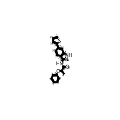 CC(Oc1ccccc1)C(=O)Nc1n[nH]c2cc(-c3cccs3)ccc12